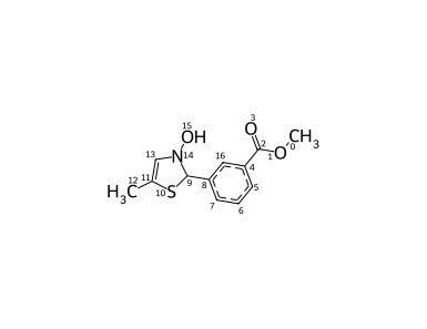 COC(=O)c1cccc(C2SC(C)=CN2O)c1